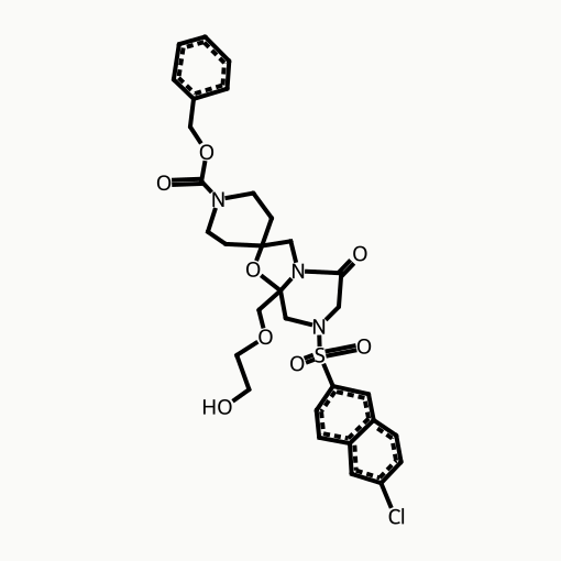 O=C(OCc1ccccc1)N1CCC2(CC1)CN1C(=O)CN(S(=O)(=O)c3ccc4cc(Cl)ccc4c3)CC1(COCCO)O2